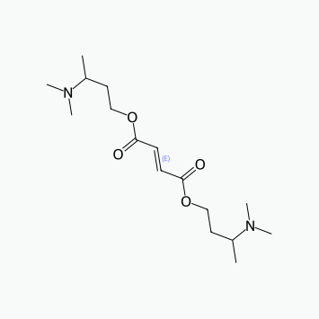 CC(CCOC(=O)/C=C/C(=O)OCCC(C)N(C)C)N(C)C